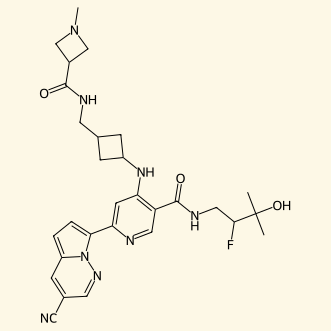 CN1CC(C(=O)NCC2CC(Nc3cc(-c4ccc5cc(C#N)cnn45)ncc3C(=O)NCC(F)C(C)(C)O)C2)C1